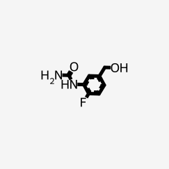 NC(=O)Nc1cc(CO)ccc1F